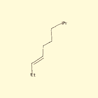 [CH2]CC=CCCCC(C)C